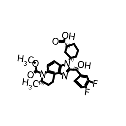 COC(=O)N1c2ccc3c(nc([C@H](O)c4ccc(F)c(F)c4)n3[C@@H]3CCC[C@@H](C(=O)O)C3)c2CC[C@@H]1C